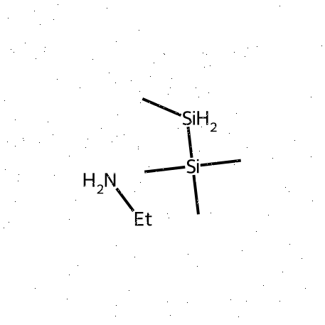 CCN.C[SiH2][Si](C)(C)C